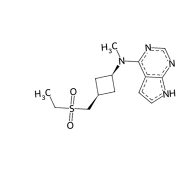 CCS(=O)(=O)C[C@H]1C[C@@H](N(C)c2ncnc3[nH]ccc23)C1